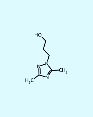 Cc1nc(C)n(CCCO)n1